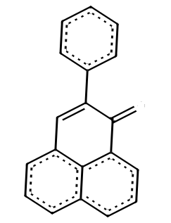 O=C1C(c2ccccc2)=Cc2cccc3cccc1c23